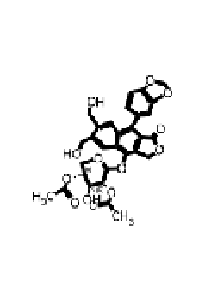 CC(=O)O[C@@H]1COC(Oc2c3c(c(-c4ccc5c(c4)OCO5)c4cc(CO)c(CO)cc24)C(=O)OC3)[C@H](OC(C)=O)[C@H]1O